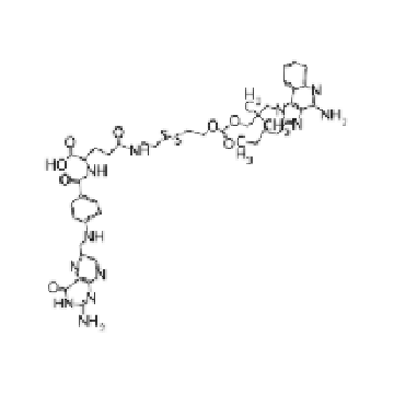 CCCCc1nc2c(N)nc3ccccc3c2n1CC(C)(C)COC(=O)OCCSSCCNC(=O)CCC(NC(=O)c1ccc(NCc2cnc3nc(N)[nH]c(=O)c3n2)cc1)C(=O)O